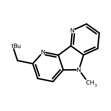 Cn1c2cccnc2c2nc(CC(C)(C)C)ccc21